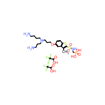 Cc1c(S(=O)(=O)NCP(=O)(O)O)sc2ccc(OCCCN(CCCN)CCCCN)cc12.O=C(O)C(F)(F)F.O=C(O)C(F)(F)F